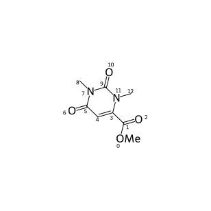 COC(=O)c1cc(=O)n(C)c(=O)n1C